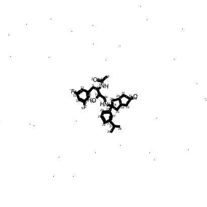 CC(=O)NC(Cc1cc(F)cc(F)c1)C(O)CNC1(c2cccc(C(C)C)c2)CC2CC(=O)CC2C1